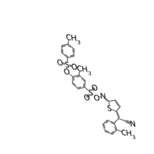 Cc1ccc(S(=O)(=O)Oc2ccc(S(=O)(=O)ON=C3C=CC(=C(C#N)c4ccccc4C)S3)cc2C)cc1